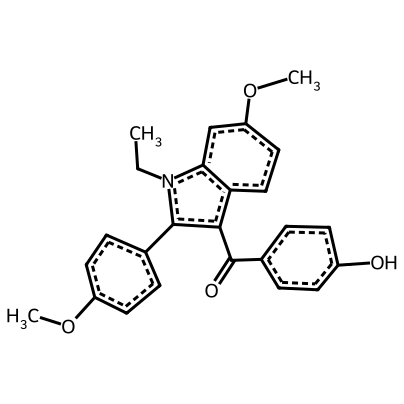 CCn1c(-c2ccc(OC)cc2)c(C(=O)c2ccc(O)cc2)c2ccc(OC)cc21